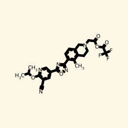 Cc1c(-c2noc(-c3cnc(OC(C)C)c(C#N)c3)n2)ccc2c1CCN(CC(=O)OC(=O)C(F)(F)F)C2